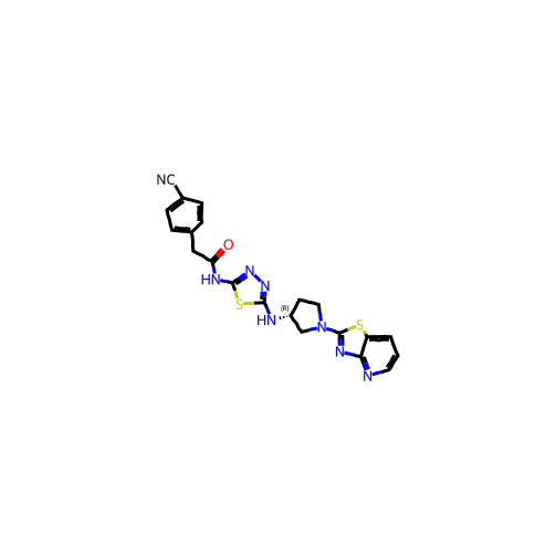 N#Cc1ccc(CC(=O)Nc2nnc(N[C@@H]3CCN(c4nc5ncccc5s4)C3)s2)cc1